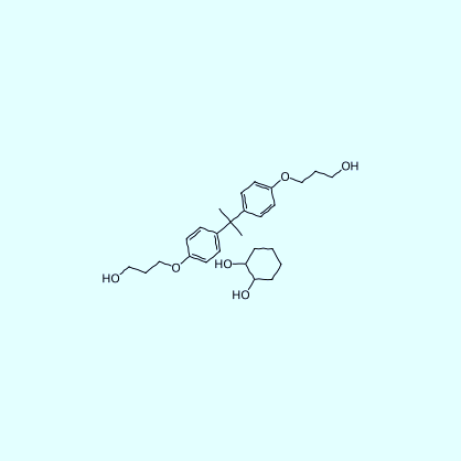 CC(C)(c1ccc(OCCCO)cc1)c1ccc(OCCCO)cc1.OC1CCCCC1O